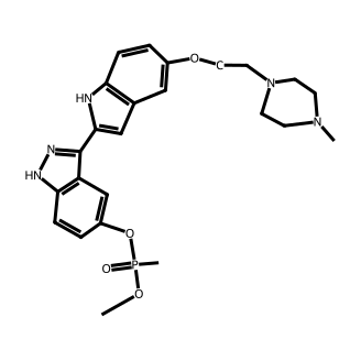 COP(C)(=O)Oc1ccc2[nH]nc(-c3cc4cc(OCCN5CCN(C)CC5)ccc4[nH]3)c2c1